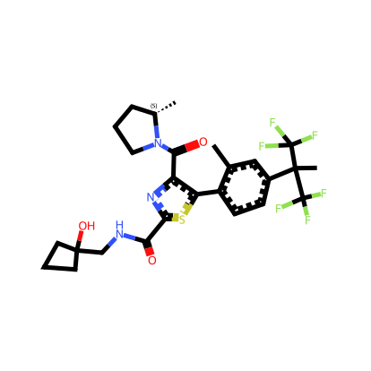 Cc1cc(C(C)(C(F)(F)F)C(F)(F)F)ccc1-c1sc(C(=O)NCC2(O)CCC2)nc1C(=O)N1CCC[C@@H]1C